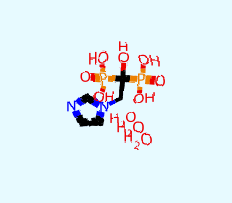 O.O.O.O=P(O)(O)C(O)(Cn1ccnc1)P(=O)(O)O